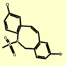 CS(=O)(=O)N1Cc2ccc(Br)cc2C=Cc2cc(Cl)ccc21